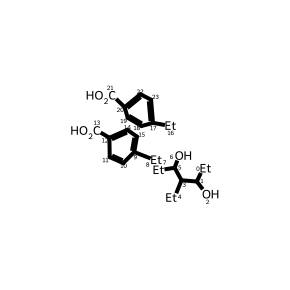 CCC(O)C(CC)C(O)CC.CCc1ccc(C(=O)O)cc1.CCc1ccc(C(=O)O)cc1